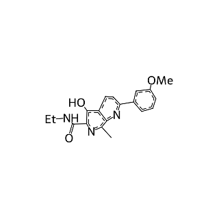 CCNC(=O)c1nc(C)c2nc(-c3cccc(OC)c3)ccc2c1O